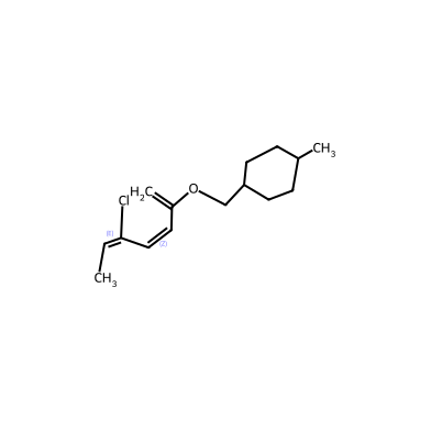 C=C(/C=C\C(Cl)=C/C)OCC1CCC(C)CC1